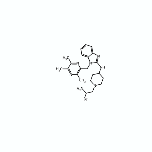 Cc1nc(C)c(Cn2c(NC3CCN(CC(N)C(C)C)CC3)nc3ccccc32)nc1C